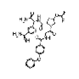 N=C(N)c1csc([C@H](NC(=O)[C@@H]2C[C@@H](OC(F)F)CN2C(=O)CNC(=O)c2ccc(Oc3ccccc3)cc2)C(N)=O)c1